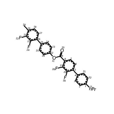 CCCc1ccc(-c2ccc(C(=O)Oc3ccc(-c4ccc(C)c(F)c4F)cc3)c(F)c2F)cc1